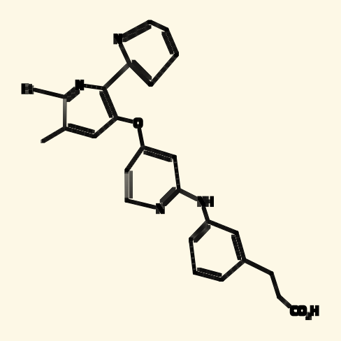 CCc1nc(-c2ccccn2)c(Oc2ccnc(Nc3cccc(CCC(=O)O)c3)c2)cc1C